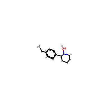 CC(C)Cc1ccc(C2CCCCN2O)cc1